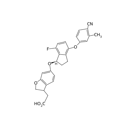 Cc1cc(Oc2ccc(F)c3c2CC[C@H]3Oc2ccc3c(c2)OCC3CC(=O)O)ccc1C#N